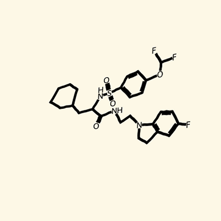 O=C(NCCN1CCc2cc(F)ccc21)C(CC1CCCCC1)NS(=O)(=O)c1ccc(OC(F)F)cc1